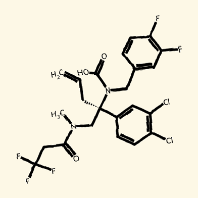 C=CC[C@@](CN(C)C(=O)CC(F)(F)F)(c1ccc(Cl)c(Cl)c1)N(Cc1ccc(F)c(F)c1)C(=O)O